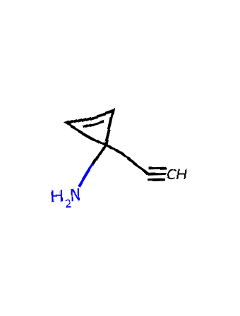 C#CC1(N)C=C1